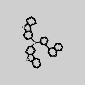 c1cc(-c2cccc3ccccc23)cc(N(c2ccc3oc4ccccc4c3c2)c2ccc3oc4ccccc4c3c2)c1